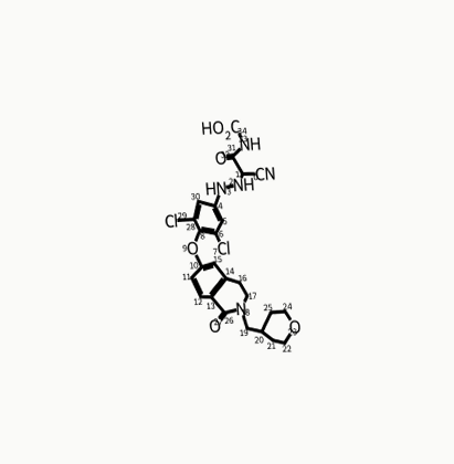 N#CC(NNc1cc(Cl)c(Oc2ccc3c(c2)CCN(CC2CCOCC2)C3=O)c(Cl)c1)C(=O)NC(=O)O